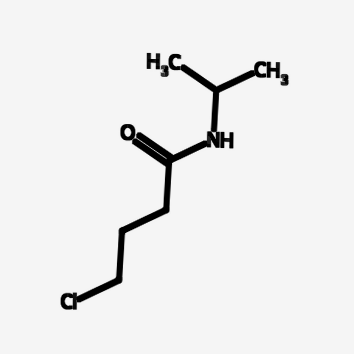 CC(C)NC(=O)CCCCl